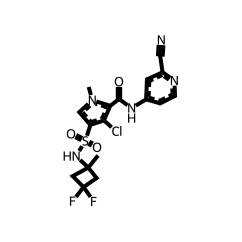 Cn1cc(S(=O)(=O)NC2(C)CC(F)(F)C2)c(Cl)c1C(=O)Nc1ccnc(C#N)c1